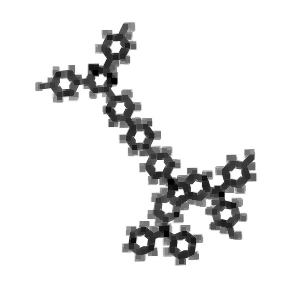 Cc1ccc(-c2cc(-c3ccc(-c4ccc(-c5ccc(-n6c7ccc(N(c8ccccc8)c8ccccc8)cc7c7cc(N(c8ccc(C)cc8)c8ccc(C)cc8)ccc76)cc5)cc4)cc3)nc(-c3ccc(C)cc3)n2)cc1